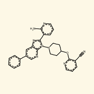 N#Cc1cccnc1OC1CCN(n2c(-c3cccnc3N)nc3cc(-c4ccccc4)cnc32)CC1